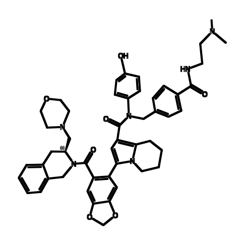 CN(C)CCNC(=O)c1ccc(CN(C(=O)c2cc(-c3cc4c(cc3C(=O)N3Cc5ccccc5C[C@H]3CN3CCOCC3)OCO4)n3c2CCCC3)c2ccc(O)cc2)cc1